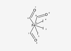 O=[CH][Fe]([I])([I])([I])([CH]=O)[CH]=O